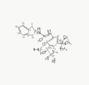 COc1c(NC(=O)NC2Cc3ccccc3C2)cc(C(C)(C)C)cc1C(O)C(F)(F)F